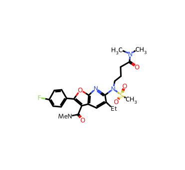 CCc1cc2c(C(=O)NC)c(-c3ccc(F)cc3)oc2nc1N(CCCC(=O)N(C)C)S(C)(=O)=O